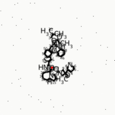 COC1(c2cccnc2)CN(C(=O)[C@@H]2CC[C@@H]3CCCC[C@H](NC(=O)c4cc5cc(CP(=O)(N[C@@H](C)C(=O)OCC(C)C)Oc6ccccc6)ccc5s4)C(=O)N32)C1